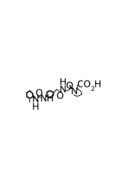 Cc1ccccc1NC(=O)Nc1ccc(CC(=O)NCC(=O)N2CCCCC2CC(=O)O)cc1